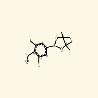 Cc1cc(B2OC(C)(C)C(C)(C)O2)cc(F)c1CO